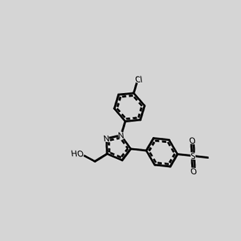 CS(=O)(=O)c1ccc(-c2cc(CO)nn2-c2ccc(Cl)cc2)cc1